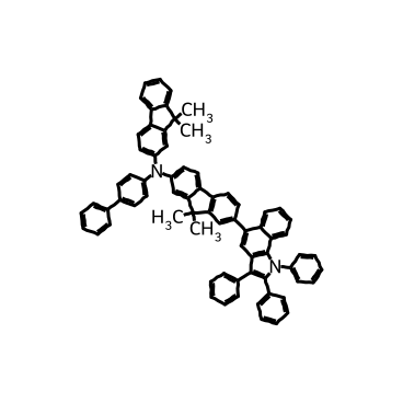 CC1(C)c2ccccc2-c2ccc(N(c3ccc(-c4ccccc4)cc3)c3ccc4c(c3)C(C)(C)c3cc(-c5cc6c(-c7ccccc7)c(-c7ccccc7)n(-c7ccccc7)c6c6ccccc56)ccc3-4)cc21